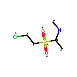 C[N]C(C)S(=O)(=O)CCCl